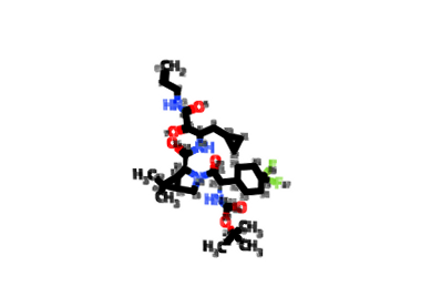 C=CCNC(=O)C(=O)C(CC1CC1)NC(=O)[C@@H]1C2C(CN1C(=O)[C@@H](NC(=O)OC(C)(C)C)C1CCC(F)(F)CC1)C2(C)C